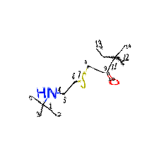 CC(C)(C)NCCSCC(=O)C(C)(C)C